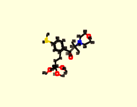 CO[Si](CCc1cc(SC)ccc1C(=O)C(C)(C)N1CCOCC1)(OC)OC